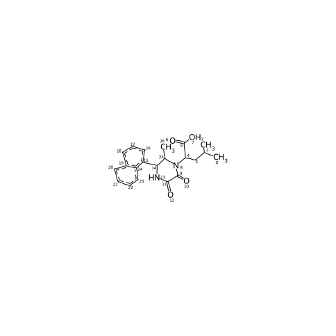 CC(C)CC(C(=O)O)N1C(=O)C(=O)NC(c2cccc3ccccc23)C1C